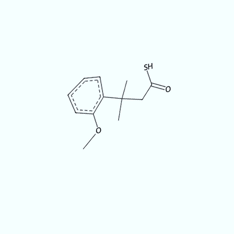 COc1ccccc1C(C)(C)CC(=O)S